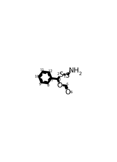 NSSC(OC=O)c1ccccc1